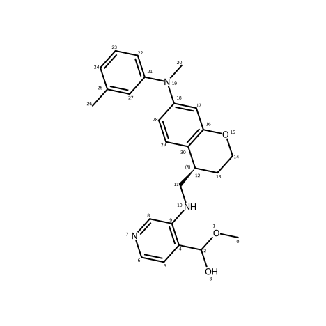 COC(O)c1ccncc1NC[C@@H]1CCOc2cc(N(C)c3cccc(C)c3)ccc21